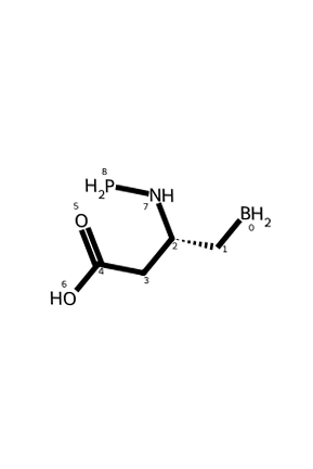 BC[C@H](CC(=O)O)NP